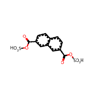 O=C(OS(=O)(=O)O)c1ccc2ccc(C(=O)OS(=O)(=O)O)cc2c1